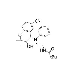 CC(C)(C)C(=O)NCCN(c1ccccc1)[C@H]1c2cc(C#N)ccc2OC(C)(C)[C@@H]1O